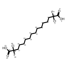 O=C(O)C(F)(Cl)CCCCCCCCCCCCC(F)(Cl)C(=O)O